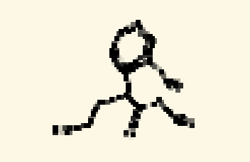 CC(C)(C)OC(=O)C(CCO)c1ccccc1N